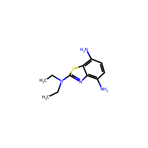 CCN(CC)c1nc2c(N)ccc(N)c2s1